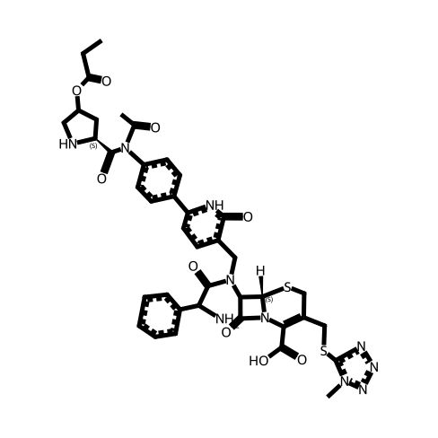 CCC(=O)OC1CN[C@H](C(=O)N(C(C)=O)c2ccc(-c3ccc(CN(C(=O)C(N)c4ccccc4)C4C(=O)N5C(C(=O)O)=C(CSc6nnnn6C)CS[C@@H]45)c(=O)[nH]3)cc2)C1